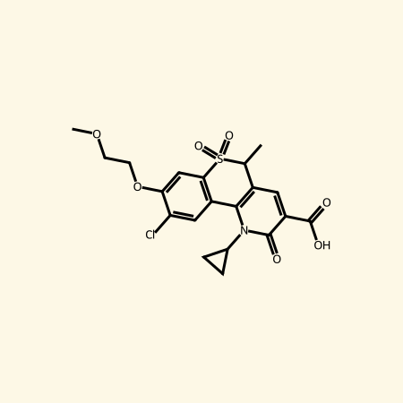 COCCOc1cc2c(cc1Cl)-c1c(cc(C(=O)O)c(=O)n1C1CC1)C(C)S2(=O)=O